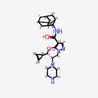 O=C(NC1C2CC3CC(C2)CC1C3)c1cnn(CCN2CCNCC2)c1OCC1CC1